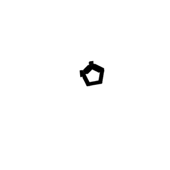 C1=S=NCC1